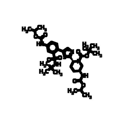 CC(C)OC(=O)Nc1ccc(-c2cnc([C@H]3CC[C@H](NC(=O)OC(C)C)CN3C(=O)OC(C)(C)C)s2)c(S(=O)(=O)NC(C)(C)C)c1